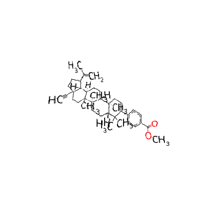 C#CC12CCC(C(=C)C)[C@@H]1[C@H]1CC[C@@H]3[C@@]4(C)CC=C(c5ccc(C(=O)OC)cc5)C(C)(C)[C@@H]4CC[C@@]3(C)[C@]1(C)CC2